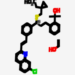 C=CO.CC(C)(O)c1ccccc1CC[C@@H](SCC1(CC(=O)O)CC1)c1cccc(C=Cc2ccc3ccc(Cl)cc3n2)c1